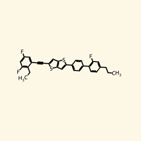 CCCc1ccc(-c2ccc(-c3cc4sc(C#Cc5cc(F)cc(F)c5CC)cc4s3)cc2)c(F)c1